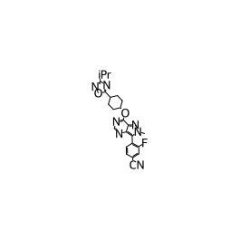 CC(C)c1noc(C2CCC(Oc3ncnc4c(-c5ccc(C#N)cc5F)n(C)nc34)CC2)n1